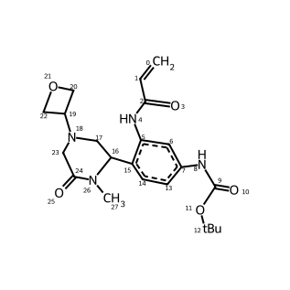 C=CC(=O)Nc1cc(NC(=O)OC(C)(C)C)ccc1C1CN(C2COC2)CC(=O)N1C